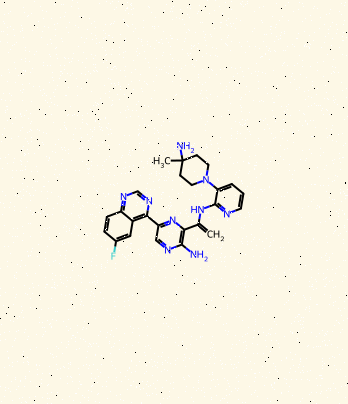 C=C(Nc1ncccc1N1CCC(C)(N)CC1)c1nc(-c2ncnc3ccc(F)cc23)cnc1N